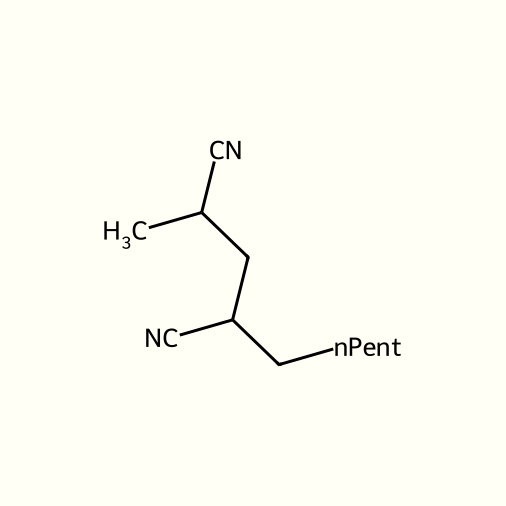 CCCCCCC(C#N)CC(C)C#N